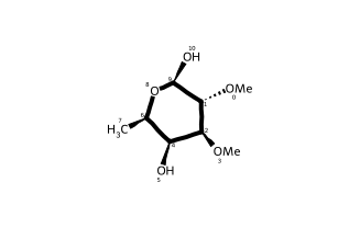 CO[C@@H]1[C@@H](OC)[C@@H](O)[C@@H](C)O[C@H]1O